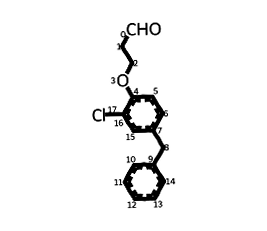 O=CCCOc1ccc(Cc2ccccc2)cc1Cl